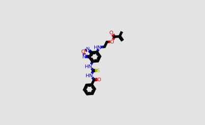 C=C(C)C(=O)OCCNc1ccc(NC(=S)NC(=O)c2ccccc2)c2nonc12